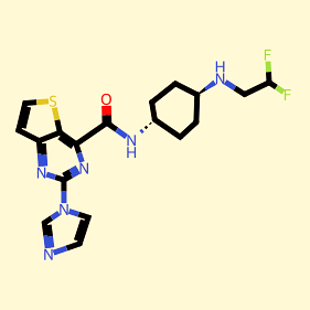 O=C(N[C@H]1CC[C@H](NCC(F)F)CC1)c1nc(-n2ccnc2)nc2ccsc12